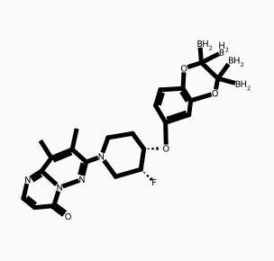 BC1(B)Oc2ccc(O[C@H]3CCN(c4nn5c(=O)ccnc5c(C)c4C)C[C@H]3F)cc2OC1(B)B